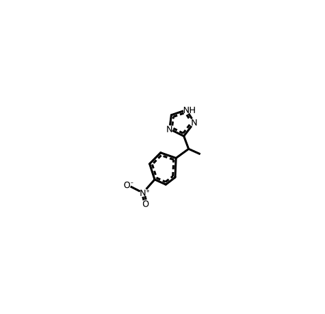 CC(c1ccc([N+](=O)[O-])cc1)c1nc[nH]n1